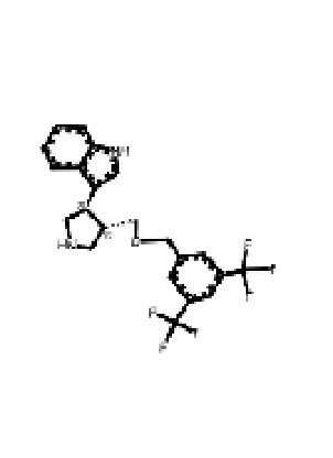 FC(F)(F)c1cc(COC[C@@H]2CNC[C@H]2c2c[nH]c3ccccc23)cc(C(F)(F)F)c1